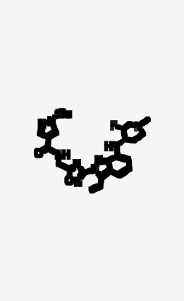 C=Cc1c2cccc(N[C@@H]3CCN(C)C[C@@H]3F)c2nn1-c1noc(CNC(=O)c2cnn(C(C)(C)C)c2)n1